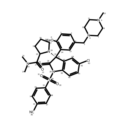 COc1ccc(CN2CCN(C)CC2)cc1[C@]1(N2CCCC2C(=O)N(C)C)C(=O)N(S(=O)(=O)c2ccc(C#N)cc2)c2ccc(Cl)cc21